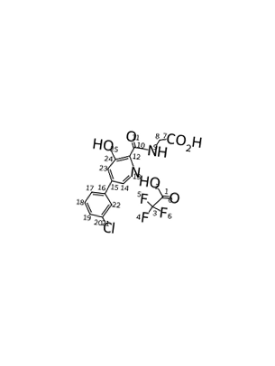 O=C(O)C(F)(F)F.O=C(O)CNC(=O)c1ncc(-c2cccc(Cl)c2)cc1O